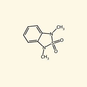 CN1c2ccccc2N(C)S1(=O)=O